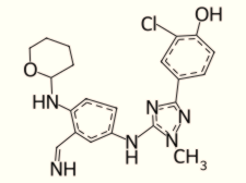 Cn1nc(-c2ccc(O)c(Cl)c2)nc1Nc1ccc(NC2CCCCO2)c(C=N)c1